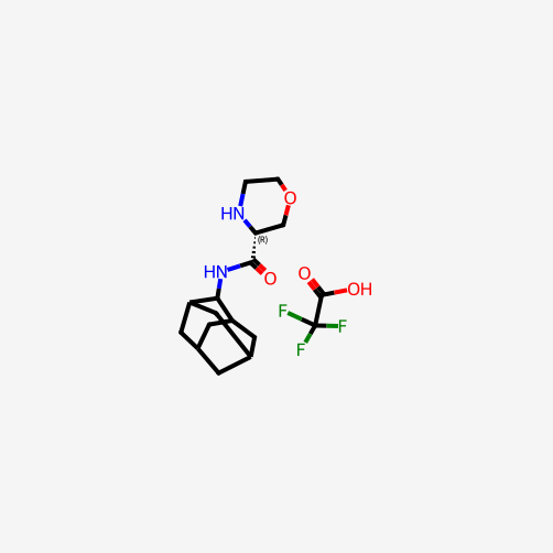 O=C(NC1C2CC3CC(C2)CC1C3)[C@H]1COCCN1.O=C(O)C(F)(F)F